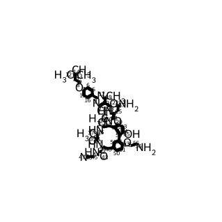 Cc1nc(-c2ccc(OCCC(C)(C)C)cc2)nc(C)c1C(=O)N[C@@H](CCN)C(=O)N(C)[C@@H]1C(=O)N[C@@H](C)C(=O)N[C@H](C(=O)NCC#N)Cc2ccc(OCCN)c(c2)-c2cc1ccc2O